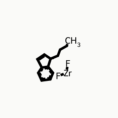 CCCC[C]1C=Cc2ccccc21.[F][Zr][F]